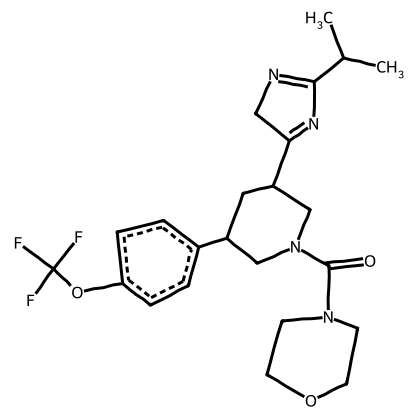 CC(C)C1=NCC(C2CC(c3ccc(OC(F)(F)F)cc3)CN(C(=O)N3CCOCC3)C2)=N1